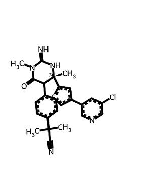 CN1C(=N)N[C@](C)(c2cc(-c3cncc(Cl)c3)cs2)C(c2ccc(C(C)(C)C#N)cc2)C1=O